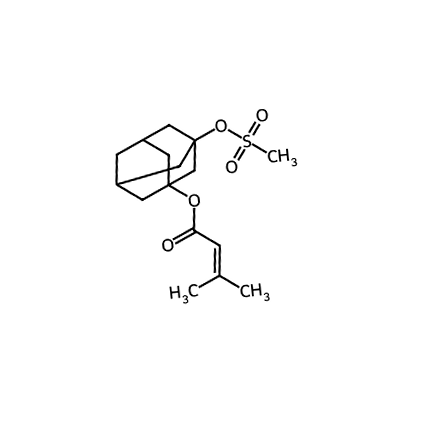 CC(C)=CC(=O)OC12CC3CC(C1)CC(OS(C)(=O)=O)(C3)C2